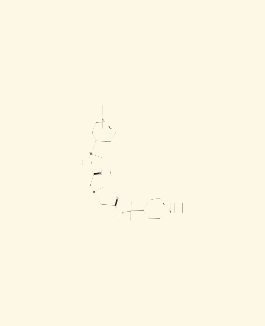 CC(C)(CC(=O)OC(C)(C)C1CCNCC1)CC(=O)OC(C)(C)C1CCNCC1